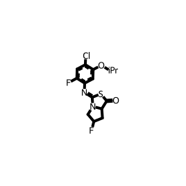 CC(C)Oc1cc(N=C2SC(=O)C3CC(F)CN23)c(F)cc1Cl